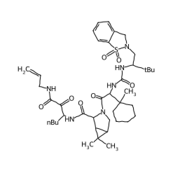 C=CCNC(=O)C(=O)C(CCCC)NC(=O)C1C2C(CN1C(=O)C(NC(=O)NC(CN1Cc3ccccc3S1(=O)=O)C(C)(C)C)C1(C)CCCCC1)C2(C)C